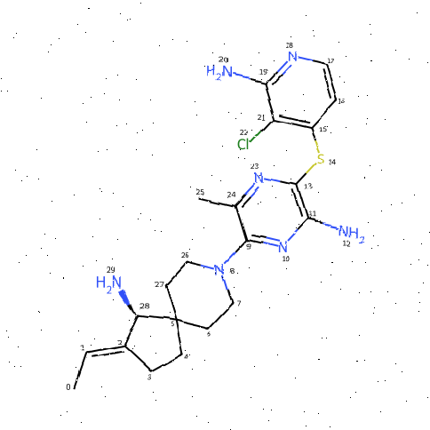 C/C=C1\CCC2(CCN(c3nc(N)c(Sc4ccnc(N)c4Cl)nc3C)CC2)[C@@H]1N